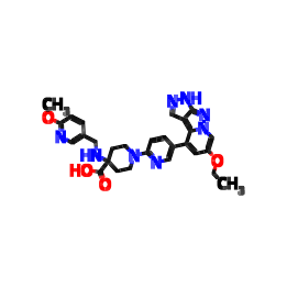 CCOc1cc(-c2ccc(N3CCC(NCc4ccc(OC)nc4)(C(=O)O)CC3)nc2)c2c3cn[nH]c3nn2c1